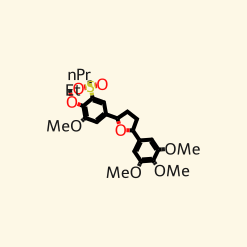 CCCS(=O)(=O)c1cc(C2CCC(c3cc(OC)c(OC)c(OC)c3)O2)cc(OC)c1OCC